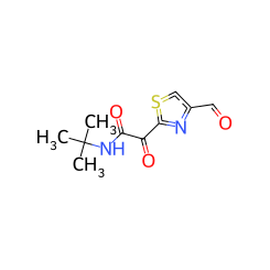 CC(C)(C)NC(=O)C(=O)c1nc(C=O)cs1